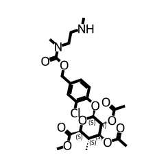 CNCCN(C)C(=O)OCc1ccc(O[C@@H]2O[C@H](C(=O)OC)[C@@H](C)[C@H](OC(C)=O)[C@H]2OC(C)=O)c(Cl)c1